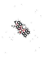 Cc1cc2ccccc2c(-c2c(OCC3CC3)c(C)cc3ccccc23)c1OCC(O)COc1c(C)cc2ccccc2c1-c1c(OCC2CO2)c(C)cc2ccccc12